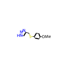 COc1ccc(SCc2c[nH]nn2)cc1